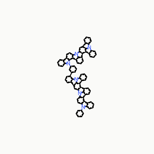 c1ccc(-n2c3ccccc3c3c4c5cccc6c7c8c9ccccc9n9c%10c(-c%11cccc(-n%12c%13ccccc%13c%13ccc%14c(c%15cccc%16c%17c%18c%19ccccc%19n%19c%20ccccc%20c(cc%17n%14c%16%15)c%18%19)c%13%12)c%11)cccc%10c(cc7n(c4ccc32)c56)c89)cc1